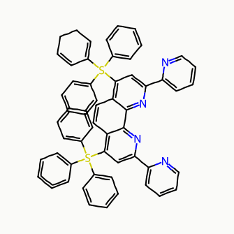 C1=C=CC(S(c2ccccc2)(c2ccccc2)c2cc(-c3ccccn3)nc3c2ccc2c(S(C4=CCCC=C4)(c4ccccc4)c4ccccc4)cc(-c4ccccn4)nc23)=CC=1